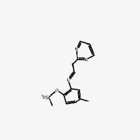 Cc1ccc(O[SiH](C)C)c(N=CCc2ncccn2)c1